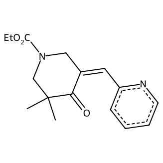 CCOC(=O)N1CC(=Cc2ccccn2)C(=O)C(C)(C)C1